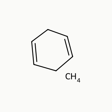 C.C1=CCC=CC1